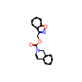 O=C(OCc1noc2ccccc12)N1C=Cc2ccccc2C1